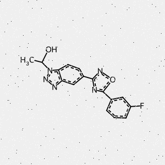 CC(O)n1nnc2cc(-c3noc(-c4cccc(F)c4)n3)ccc21